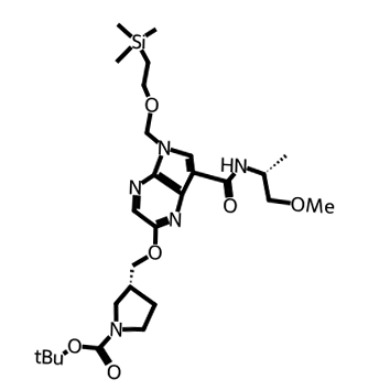 COC[C@@H](C)NC(=O)c1cn(COCC[Si](C)(C)C)c2ncc(OC[C@@H]3CCN(C(=O)OC(C)(C)C)C3)nc12